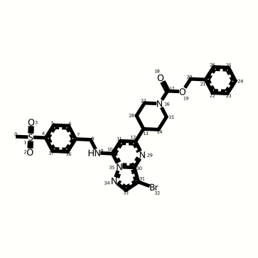 CS(=O)(=O)c1ccc(CNc2cc(C3CCN(C(=O)OCc4ccccc4)CC3)nc3c(Br)cnn23)cc1